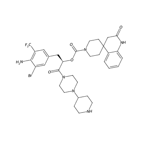 Nc1c(Br)cc(C[C@@H](OC(=O)N2CCC3(CC2)CC(=O)Nc2ccccc23)C(=O)N2CCN(C3CCNCC3)CC2)cc1C(F)(F)F